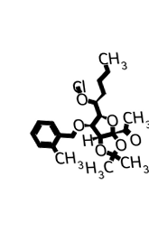 CCCC[C@H](OCl)[C@H]1O[C@]2(C(C)=O)OC(C)(C)O[C@@H]2[C@H]1OCc1ccccc1C